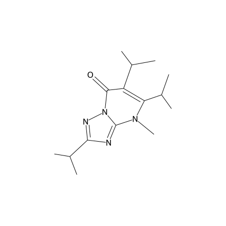 CC(C)c1nc2n(C)c(C(C)C)c(C(C)C)c(=O)n2n1